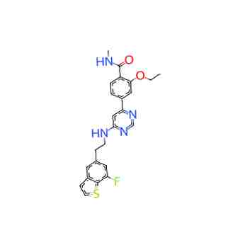 CCOc1cc(-c2cc(NCCc3cc(F)c4sccc4c3)ncn2)ccc1C(=O)NC